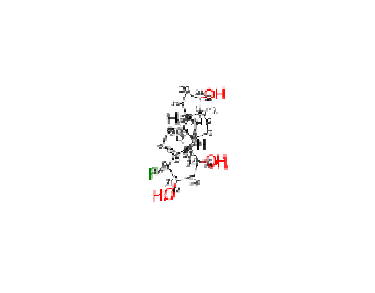 C[C@]12CC[C@@H]3[C@@H](CC=C4C(F)C(O)CC(O)[C@@]43C)[C@@H]1CCC2O